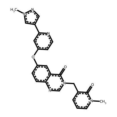 Cn1cc(-c2cc(Oc3ccc4ncn(Cc5cccn(C)c5=O)c(=O)c4c3)ccn2)cn1